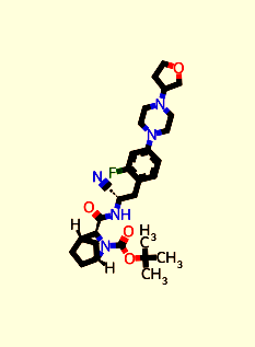 CC(C)(C)OC(=O)N1[C@@H]2CC[C@@H](C2)[C@H]1C(=O)N[C@H](C#N)Cc1ccc(N2CCN(C3CCOC3)CC2)cc1F